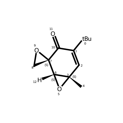 CC(C)(C)C1=C[C@]2(C)O[C@@H]2[C@@]2(CO2)C1=O